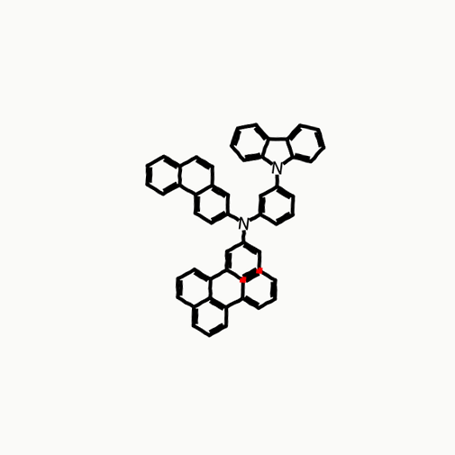 c1ccc(-c2cccc3cccc(-c4cccc(N(c5cccc(-n6c7ccccc7c7ccccc76)c5)c5ccc6c(ccc7ccccc76)c5)c4)c23)cc1